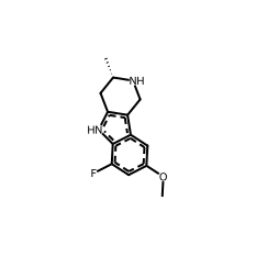 COc1cc(F)c2[nH]c3c(c2c1)CN[C@@H](C)C3